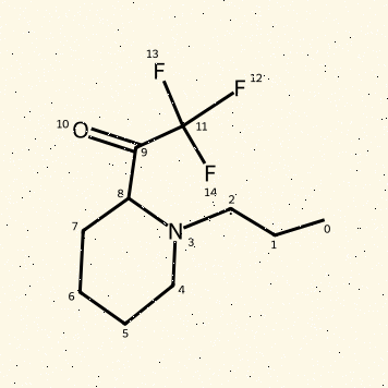 CC[CH]N1CCCCC1C(=O)C(F)(F)F